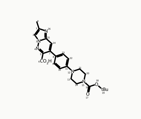 Cc1cn2nc(C(=O)O)c(-c3ccc(N4CCN(C(=O)OC(C)(C)C)CC4)cc3)cc2n1